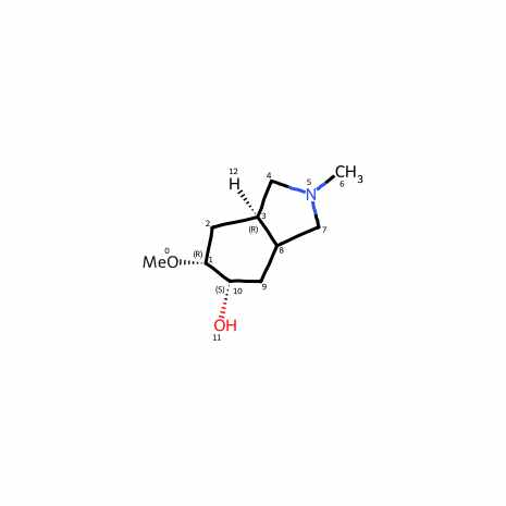 CO[C@@H]1C[C@H]2CN(C)CC2C[C@@H]1O